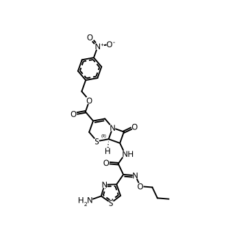 CCCON=C(C(=O)NC1C(=O)N2C=C(C(=O)OCc3ccc([N+](=O)[O-])cc3)CS[C@H]12)c1csc(N)n1